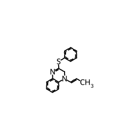 CC=CN1CC(Sc2ccccc2)=Nc2ccccc21